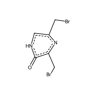 O=c1[nH]cc(CBr)nc1CBr